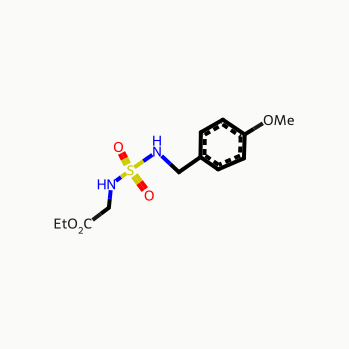 CCOC(=O)CNS(=O)(=O)NCc1ccc(OC)cc1